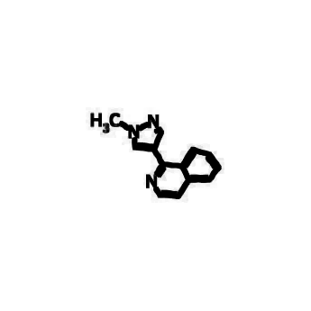 Cn1cc(-c2nccc3ccccc23)cn1